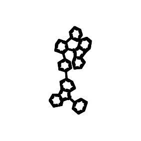 c1ccc(-c2cccc(-c3ccc(-c4ccc5c(c4)c4ccccc4n5-c4ccccc4)cc3)c2-n2c3ccccc3c3ccccc32)cc1